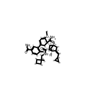 COC1=CC=C(c2cc(C(N)=O)ccc2F)CC1(C(N)=O)[C@@H]1[C@H]2C/C(=C/C3CC3)[C@H](C2)[C@@H]1C(=O)NCC1(C)CCC1